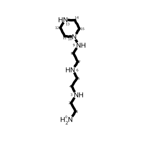 NCCNCCNCCNN1CCNCC1